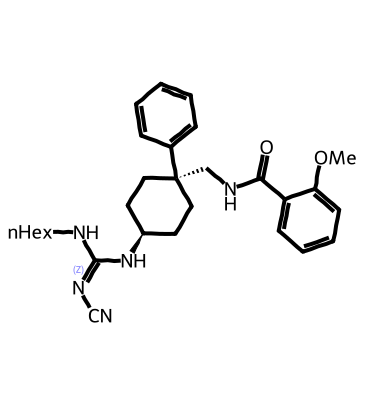 CCCCCCN/C(=N/C#N)N[C@H]1CC[C@@](CNC(=O)c2ccccc2OC)(c2ccccc2)CC1